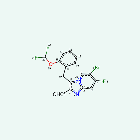 O=Cc1nc2cc(F)c(Br)cn2c1Cc1ccccc1OC(F)F